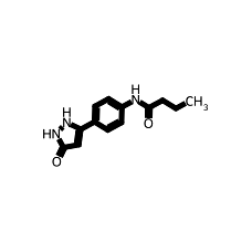 CCCC(=O)Nc1ccc(-c2cc(=O)[nH][nH]2)cc1